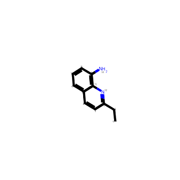 CCc1ccc2cccc(N)c2n1